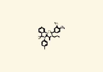 CCCN(C(=O)c1ccc(OC)c(OC)c1)C(C)c1nc2ccccc2c(=O)n1-c1ccc(C)cc1